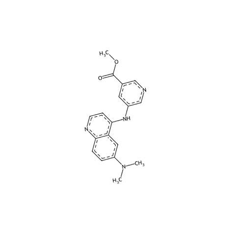 COC(=O)c1cncc(Nc2ccnc3ccc(N(C)C)cc23)c1